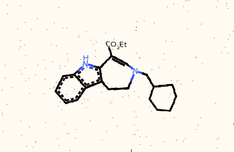 CCOC(=O)C1=CN(CC2CCCCC2)CCc2c1[nH]c1ccccc21